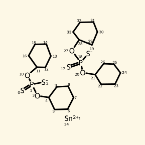 S=P([S-])(OC1CCCCC1)OC1CCCCC1.S=P([S-])(OC1CCCCC1)OC1CCCCC1.[Sn+2]